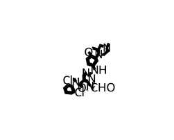 CN1CCN2c3cc(Nc4ncc(C(=O)N(C)c5c(Cl)cccc5Cl)c(N(C)C=O)n4)ccc3OCC2C1